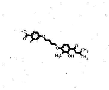 Cc1c(OCCCCOc2ccc(C(=O)O)c(F)c2)ccc(C(=O)CC(C)C)c1O